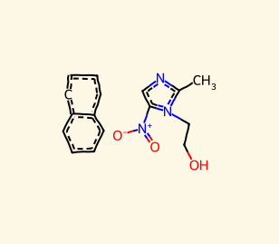 Cc1ncc([N+](=O)[O-])n1CCO.c1ccc2ccccc2c1